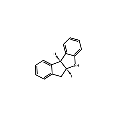 c1ccc2c(c1)C[C@H]1Nc3ccccc3[C@@H]21